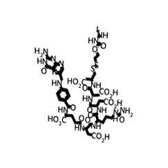 NC(=O)NCCCC(NC(=O)C(CC(=O)O)NC(=O)CCC(NC(=O)c1ccc(NCc2cnc3nc(N)[nH]c(=O)c3n2)cc1)C(=O)O)C(=O)NC(CC(=O)O)C(=O)NC(CC(=O)O)C(=O)NC(CSSCCOC(=O)NNI)CC(=O)O